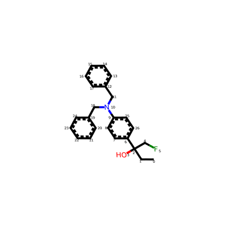 CCC(O)(CF)c1ccc(N(Cc2ccccc2)Cc2ccccc2)cc1